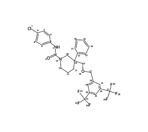 O=C(Nc1ccc(Cl)cc1)N1CCCC(COCc2cc(C(F)(F)F)cc(C(F)(F)F)c2)(c2ccccc2)C1